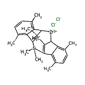 CC1=C2c3c(C)ccc(C)c3[CH]1[Zr+2][CH]1C(C)=C(c3c(C)ccc(C)c31)[Si]2(C)C.[Cl-].[Cl-]